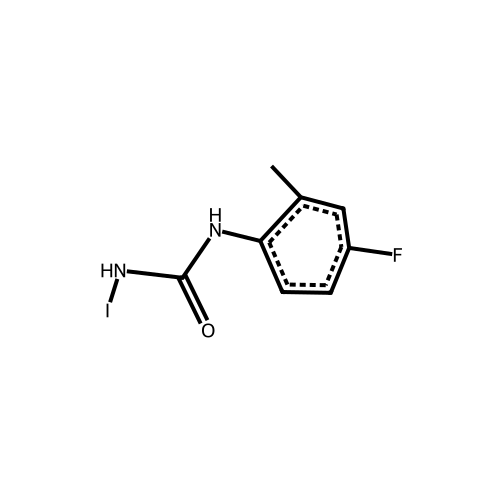 Cc1cc(F)ccc1NC(=O)NI